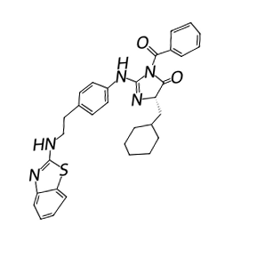 O=C(c1ccccc1)N1C(=O)[C@H](CC2CCCCC2)N=C1Nc1ccc(CCNc2nc3ccccc3s2)cc1